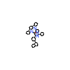 c1ccc(-c2nc(-c3cccc(-c4cccc5ccccc45)c3)c3c(n2)C3n2c3ccccc3c3ccc4c5ccccc5n(-c5ccccc5)c4c32)cc1